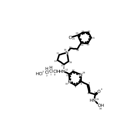 Cl.Cl.Cl.Cl.O=C(C=Cc1cnc(N[C@@H]2CCN(CCc3ccccc3Cl)C2)cn1)NO